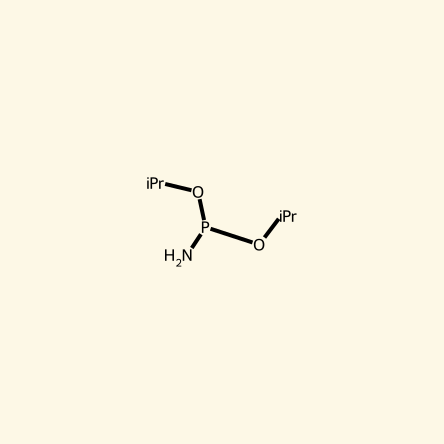 CC(C)OP(N)OC(C)C